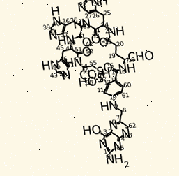 Nc1nc(O)c2nc(CNc3ccc(C(=O)N[C@H](C=O)CCC(=O)NC(Cc4cnc[nH]4)C(=O)NC(Cc4cnc[nH]4)C(=O)NC(Cc4cnc[nH]4)C(=O)NC(CSSO)C(=O)O)cc3)cnc2n1